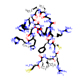 N=C(N)NCCC[C@H](NC(=O)[C@H](Cc1ccccc1)NC(=O)[C@H](CS)NC(=O)[C@H](CCCNC(=N)N)NC(=O)[C@H](CC(=O)O)NC(=O)[C@H](CC(=O)O)NC(=O)[C@@H](N)CS)C(=O)NCC(=O)NCC(=O)N[C@@H](CC(=O)O)C(=O)N[C@@H](CC(=O)O)C(=O)N[C@@H](Cc1c[nH]cn1)C(=O)N[C@@H](Cc1c[nH]cn1)C(=O)N[C@@H](Cc1c[nH]cn1)C(=O)N[C@@H](Cc1c[nH]cn1)C(=O)N[C@@H](Cc1c[nH]cn1)C(=O)N[C@@H](Cc1c[nH]cn1)C(=O)O